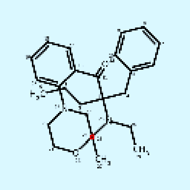 CCCC(Cc1ccccc1)(C(=O)c1ccccc1N1CCOCC1)N(CC)CC